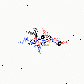 CC(=O)N[C@@H](CC(C)C)C(=O)N[C@@H](Cc1ccc(O)cc1)C(=O)N[C@@H](CCCNC(=N)N)C(=O)N[C@@H](C)C(=O)N[C@@H](CC(N)=O)C(=O)NC(C(=O)N[C@@H](CS)C(=O)N[C@@H](CO)C(=O)N1CCC[C@H]1C(=O)NCC(=O)N[C@@H](Cc1ccc(O)cc1)C(N)=O)C(C)C